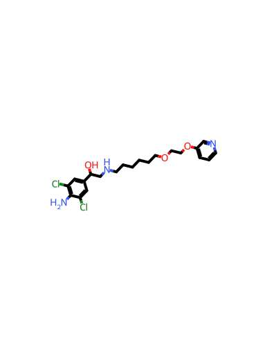 Nc1c(Cl)cc(C(O)CNCCCCCCOCCOc2cccnc2)cc1Cl